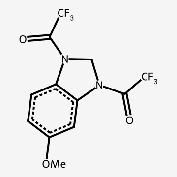 COc1ccc2c(c1)N(C(=O)C(F)(F)F)CN2C(=O)C(F)(F)F